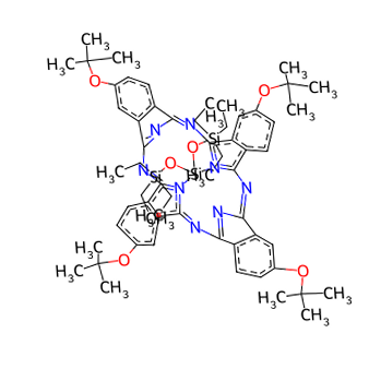 CC[Si](CC)(CC)O[Si]1(O[Si](CC)(CC)CC)n2c3c4cc(OC(C)(C)C)ccc4c2/N=C2N=C(/N=c4/c5cc(OC(C)(C)C)ccc5/c(n41)=N/C1=NC(=N\3)/c3ccc(OC(C)(C)C)cc31)c1ccc(OC(C)(C)C)cc1\2